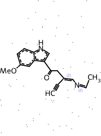 C#C/C(=C\N=C/C)CC(=O)c1c[nH]c2ccc(OC)cc12